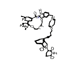 Cc1cc2cc(n1)-c1cnn(C)c1OCCC[C@@H](C)CN1/C(=N/C2=O)Nc2ccc(CN3CCN(CCCC#Cc4cccc5c4CN(C4CCC(=O)NC4=O)C5=O)CC3)cc21